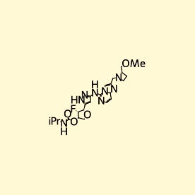 COCC1CCN1Cc1cn2c(Nc3cc([C@H]4OC[C@@H](OC(=O)NC(C)C)[C@@H]4F)[nH]n3)nccc2n1